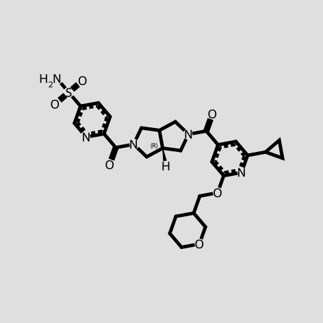 NS(=O)(=O)c1ccc(C(=O)N2CC3CN(C(=O)c4cc(OCC5CCCOC5)nc(C5CC5)c4)C[C@@H]3C2)nc1